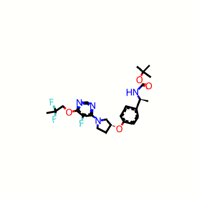 C[C@H](NC(=O)OC(C)(C)C)c1ccc(O[C@@H]2CCN(c3ncnc(OCC(C)(F)F)c3F)C2)cc1